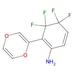 NC1=C(C2=COC=CO2)C(F)(F)C(F)(F)C=C1